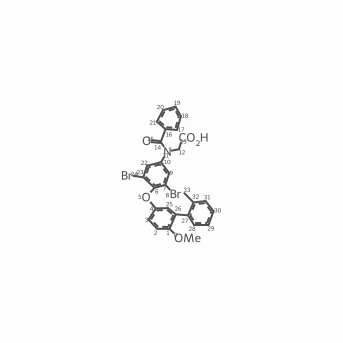 COc1ccc(Oc2c(Br)cc(N(CC(=O)O)C(=O)c3ccccc3)cc2Br)cc1-c1ccccc1C